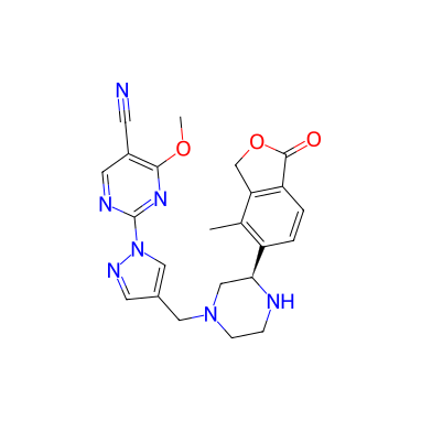 COc1nc(-n2cc(CN3CCN[C@H](c4ccc5c(c4C)COC5=O)C3)cn2)ncc1C#N